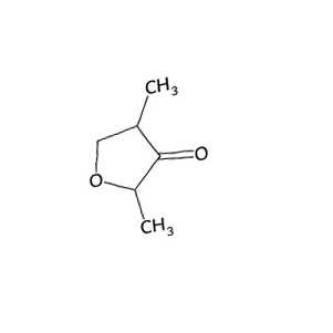 CC1COC(C)C1=O